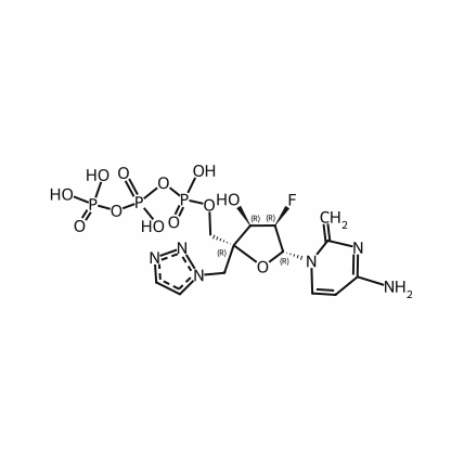 C=C1N=C(N)C=CN1[C@@H]1O[C@@](COP(=O)(O)OP(=O)(O)OP(=O)(O)O)(Cn2ccnn2)[C@@H](O)[C@H]1F